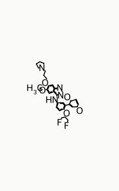 COc1cc2c(Nc3ccc(OC(CF)CF)c(C4=CC(=O)C=CC4=O)c3)ncnc2cc1OCCCN1CCCC1